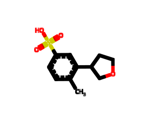 Cc1ccc(S(=O)(=O)O)cc1C1CCOC1